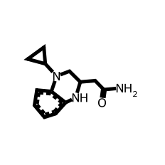 NC(=O)CC1CN(C2CC2)c2ccccc2N1